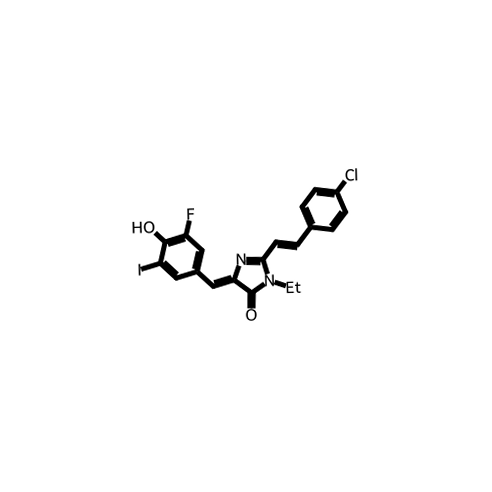 CCN1C(=O)/C(=C/c2cc(F)c(O)c(I)c2)N=C1/C=C/c1ccc(Cl)cc1